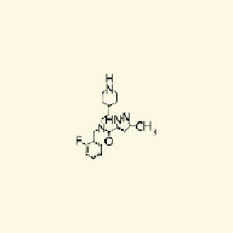 Cc1cc(C(=O)N(CCC2CCNCC2)Cc2ccccc2F)[nH]n1